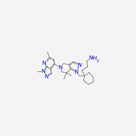 Cc1cc(N2Cc3cnn(CC4(CCCN)CCCCC4)c3C(C)(C)C2)c2cnn(C)c2n1